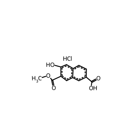 COC(=O)c1cc2cc(C(=O)O)ccc2cc1O.Cl